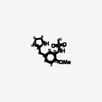 COc1ccc(CC2=NCCN2)cc1NS(C)(=O)=O